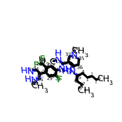 CCCCCC(CCC)NC1=C(C(NC)Nc2cc(C(F)F)c(/C(C=N)=C/NC)cc2F)CN(C)CC1